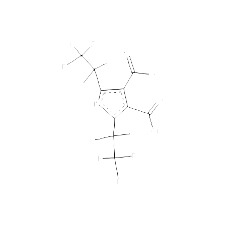 O=C(O)c1c(C(F)(F)C(F)(F)F)[nH]c(C(F)(F)C(F)(F)F)c1C(=O)O